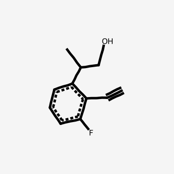 C#Cc1c(F)cccc1[C](C)CO